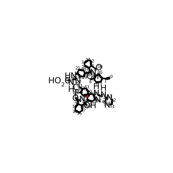 C#Cc1ccc(C)c(N2C(=O)c3ccccc3C2(O)c2ccc3[nH]c(NC(=O)O)nc3c2)c1.O=C1c2ccccc2C(O)(c2ccc3[nH]c(Nc4cnccn4)nc3c2)N1c1cccc(Cl)c1F